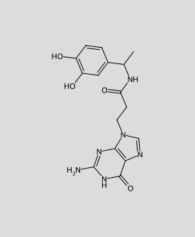 CC(NC(=O)CCn1cnc2c(=O)[nH]c(N)nc21)c1ccc(O)c(O)c1